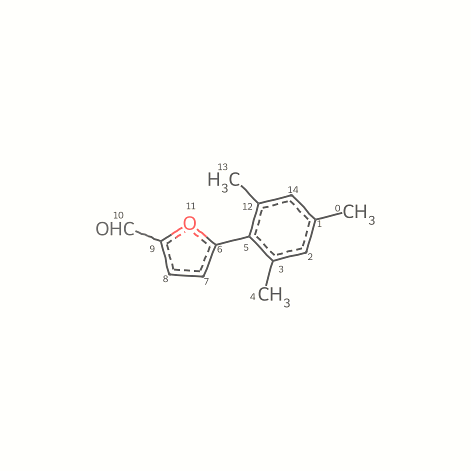 Cc1cc(C)c(-c2ccc(C=O)o2)c(C)c1